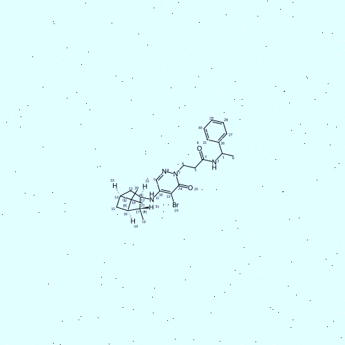 CC(NC(=O)CCn1ncc(N[C@@H]2C[C@@H]3C[C@H]([C@H]2C)C3(C)C)c(Br)c1=O)c1ccccc1